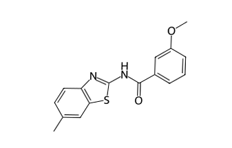 COc1cccc(C(=O)Nc2nc3ccc(C)cc3s2)c1